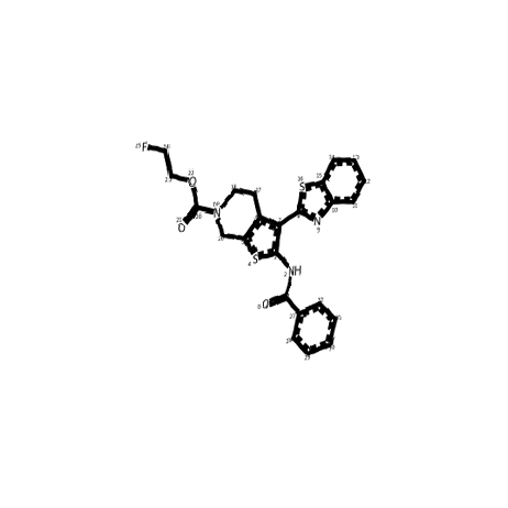 O=C(Nc1sc2c(c1-c1nc3ccccc3s1)CCN(C(=O)OCCF)C2)c1ccccc1